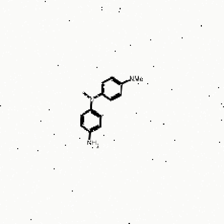 CNc1ccc(N(C)c2ccc(N)cc2)cc1